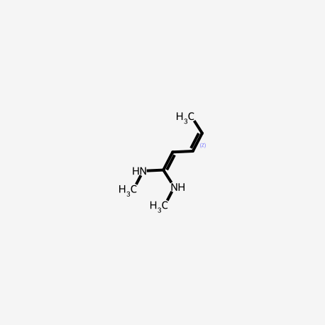 C/C=C\C=C(NC)NC